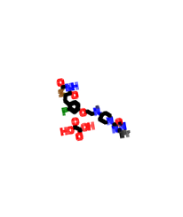 CC(C)c1noc(N2CCC(N(C)CCOc3ccc(CC4SC(=O)NC4=O)c(F)c3)CC2)n1.O=C(O)C(=O)O